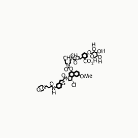 C#CCN(CCN(C)C(=O)OCc1ccc(OC2OC(C(=O)O)C(O)C(O)C2O)cc1)C(=O)Oc1cc2c(c3cc(OC)ccc13)[C@H](CCl)CN2C(=O)c1cc2cc(NC(=O)CCN3CCOCC3)ccc2s1